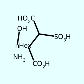 CCCCCCO.N.O=C(O)CC(C(=O)O)S(=O)(=O)O